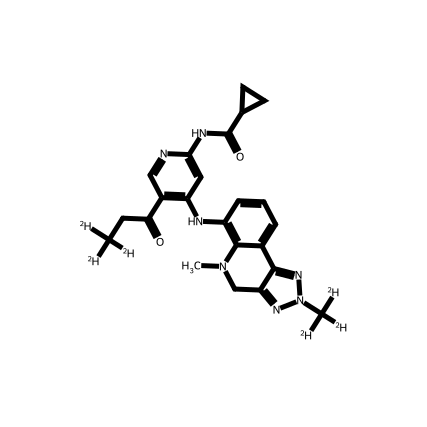 [2H]C([2H])([2H])CC(=O)c1cnc(NC(=O)C2CC2)cc1Nc1cccc2c1N(C)Cc1nn(C([2H])([2H])[2H])nc1-2